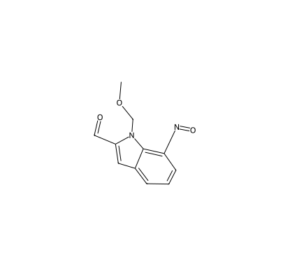 COCn1c(C=O)cc2cccc(N=O)c21